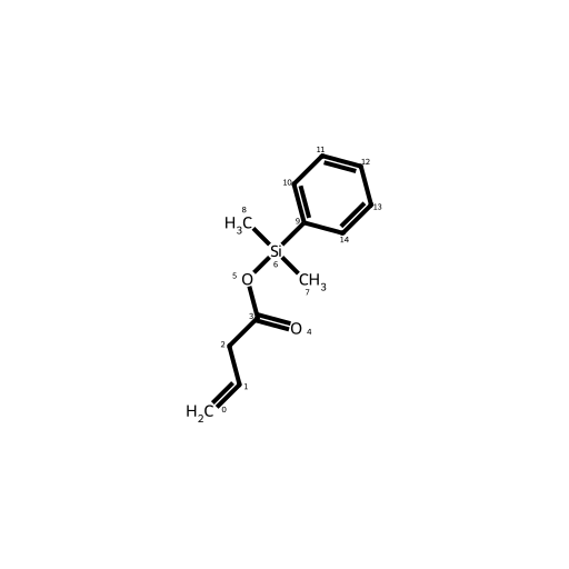 C=CCC(=O)O[Si](C)(C)c1ccccc1